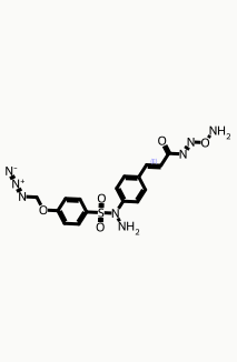 [N-]=[N+]=NCOc1ccc(S(=O)(=O)N(N)c2ccc(/C=C/C(=O)N=NON)cc2)cc1